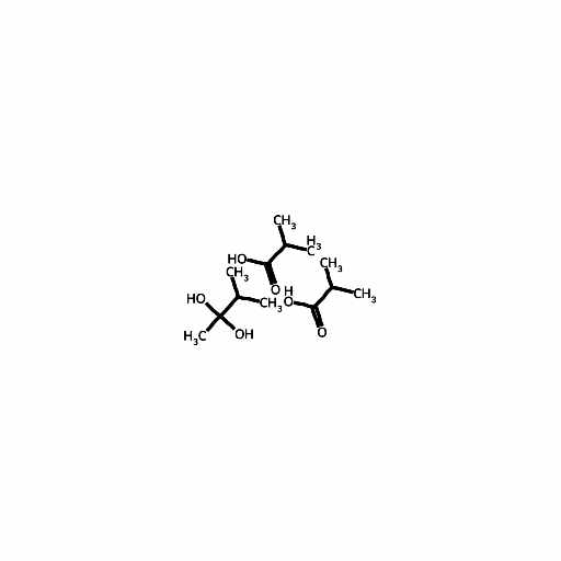 CC(C)C(=O)O.CC(C)C(=O)O.CC(C)C(C)(O)O